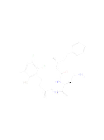 C=C(CCc1c(F)c(F)cc(C)c1S)CNC(=C)[C@H](CCN)NC(=O)C[C@@H](C)CCc1ccccc1